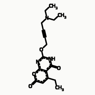 CCc1cc(=O)oc2nc(OCC#CCN(CC)CC)[nH]c(=O)c12